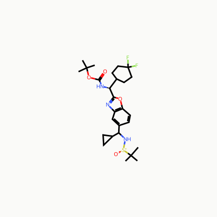 CC(C)(C)OC(=O)N[C@H](c1nc2cc(C(N[S@+]([O-])C(C)(C)C)C3CC3)ccc2o1)C1CCC(F)(F)CC1